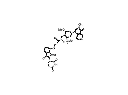 COc1cc(-c2cn(C)c(=O)c3cnccc23)cc(OC)c1CN(C)C(=O)CCOc1cccc2c1C(=O)N(C1CCC(=O)NC1=O)C2=O